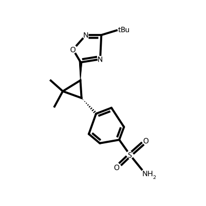 CC(C)(C)c1noc([C@H]2[C@H](c3ccc(S(N)(=O)=O)cc3)C2(C)C)n1